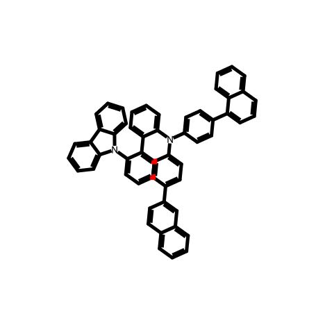 c1ccc(N(c2ccc(-c3ccc4ccccc4c3)cc2)c2ccc(-c3cccc4ccccc34)cc2)c(-c2ccccc2-n2c3ccccc3c3ccccc32)c1